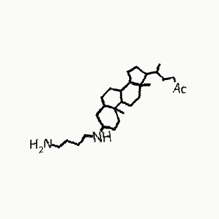 CC(=O)CCC(C)C1CCC2C3CCC4CC(NCCCCN)CCC4(C)C3CCC12C